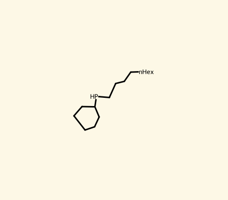 CCCCCCCCCCPC1CCCCC1